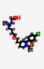 CCC(=O)N1CCC(CCOCCCCN(CC)CCO)CC1c1ccc(Cl)cc1